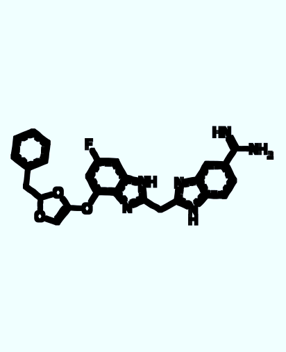 N=C(N)c1ccc2[nH]c(Cc3nc4c(OC5=COC(Cc6ccccc6)O5)cc(F)cc4[nH]3)nc2c1